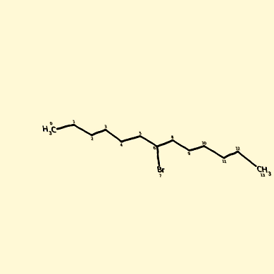 CCCCCCC(Br)CCCCCC